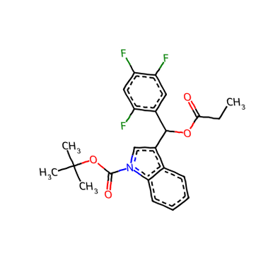 CCC(=O)OC(c1cc(F)c(F)cc1F)c1cn(C(=O)OC(C)(C)C)c2ccccc12